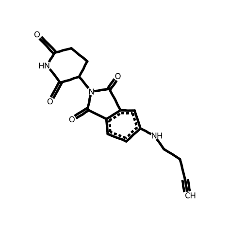 C#CCCNc1ccc2c(c1)C(=O)N(C1CCC(=O)NC1=O)C2=O